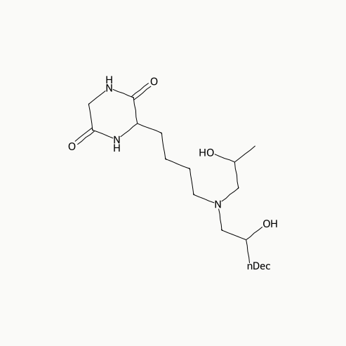 CCCCCCCCCCC(O)CN(CCCCC1NC(=O)CNC1=O)CC(C)O